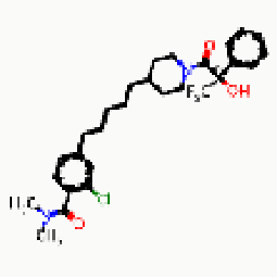 CN(C)C(=O)c1ccc(CCCCCC2CCN(C(=O)[C@@](O)(c3ccccc3)C(F)(F)F)CC2)cc1Cl